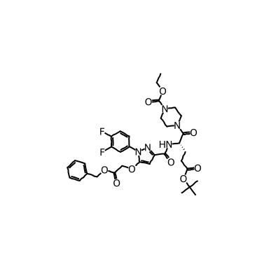 CCOC(=O)N1CCN(C(=O)[C@H](CCC(=O)OC(C)(C)C)NC(=O)c2cc(OCC(=O)OCc3ccccc3)n(-c3ccc(F)c(F)c3)n2)CC1